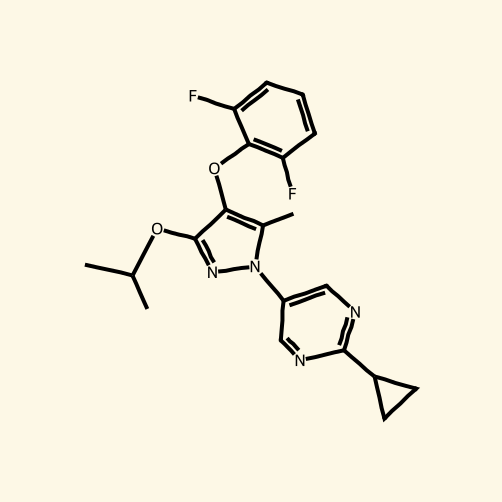 Cc1c(Oc2c(F)cccc2F)c(OC(C)C)nn1-c1cnc(C2CC2)nc1